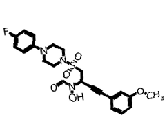 COc1cccc(C#CC(CS(=O)(=O)N2CCN(c3ccc(F)cc3)CC2)N(O)C=O)c1